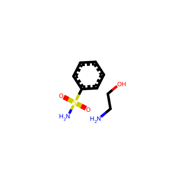 NCCO.NS(=O)(=O)c1ccccc1